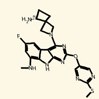 CNc1cc(F)cc2c1[nH]c1nc(Oc3cnc(SC)nc3)nc(N3CC4(CC[C@H]4N)C3)c12